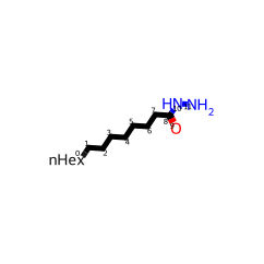 CCCCCCCCCCCCCC(=O)NN